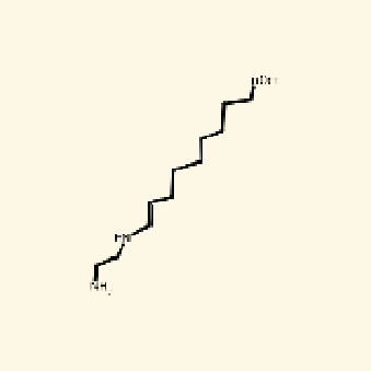 CCCCCCCCCCCCCCCC=CNCCN